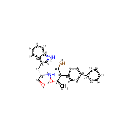 C=C(ON[C@H](C=O)Cc1c[nH]c2ccccc12)C(CS)c1ccc(-c2ccccc2)cc1